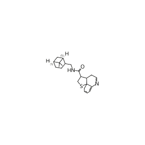 CC1(C)[C@H]2CCC(CNC(=O)C3CSC45CC=CC=C4N=CCC35)[C@@H]1C2